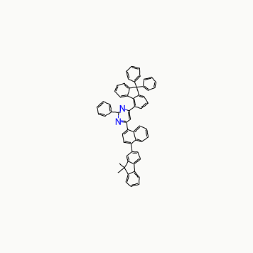 CC1(C)c2ccccc2-c2ccc(-c3ccc(-c4cc(-c5cccc6c5-c5ccccc5C6(c5ccccc5)c5ccccc5)nc(-c5ccccc5)n4)c4ccccc34)cc21